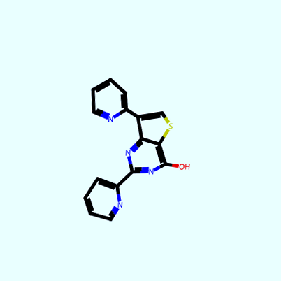 Oc1nc(-c2ccccn2)nc2c(-c3ccccn3)csc12